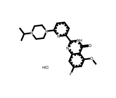 COc1cc(F)cc2nc(-c3cccc(N4CCN(C(C)C)CC4)n3)[nH]c(=O)c12.Cl